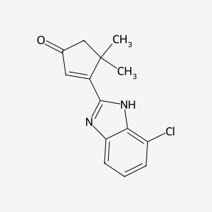 CC1(C)CC(=O)C=C1c1nc2cccc(Cl)c2[nH]1